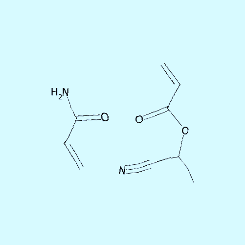 C=CC(=O)OC(C)C#N.C=CC(N)=O